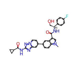 Cn1cc(C(=O)N[C@@H](CO)c2ccc(F)cc2)c2cc(-c3ccn4nc(NC(=O)C5CC5)nc4c3)ccc21